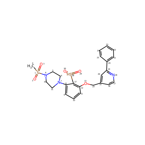 CS(=O)(=O)N1CCN(c2cccc(OCc3ccnc(-c4ccccc4)c3)c2[SH](=O)=O)CC1